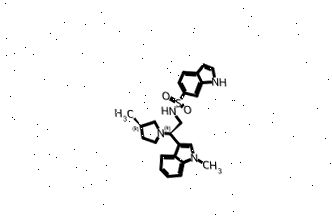 C[C@@H]1CCN([C@@H](CNS(=O)(=O)c2ccc3cc[nH]c3c2)c2cn(C)c3ccccc23)C1